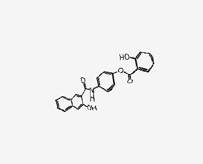 O=C(Nc1ccc(OC(=O)c2ccccc2O)cc1)c1cc2ccccc2cc1O